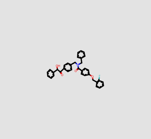 O=C(c1ccc(CN(Cc2ccccc2)C(=O)c2ccc(OCc3ccccc3F)cc2)cc1)C(O)c1ccccc1